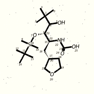 CC(C)(C)C(O)[C@@H](O[Si](C)(C)C(C)(C)C)[C@H](C[C@@H]1CCOC1)NC(=O)O